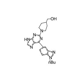 CCCCn1cnc2cc(-c3nc(N4CCC(CO)CC4)nc4[nH]cnc34)ccc21